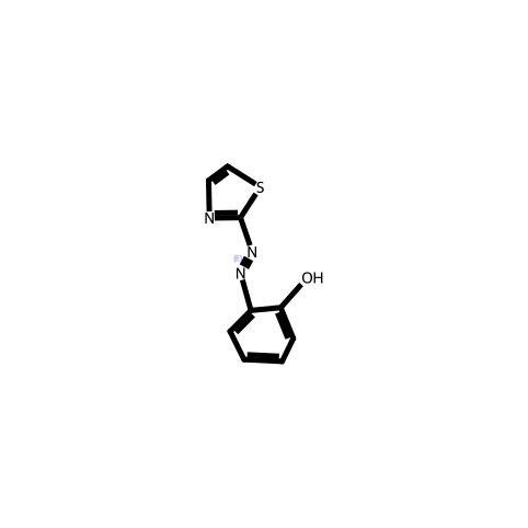 Oc1ccccc1/N=N/c1nccs1